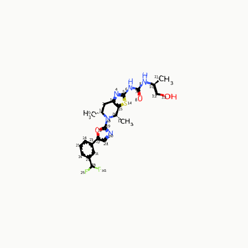 C[C@@H]1Cc2nc(NC(=O)N[C@@H](C)CO)sc2[C@H](C)N1c1ncc(-c2cccc(C(F)F)c2)o1